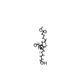 COC(=O)CCC/C=C\Cc1c(C=O)nn(CCCCCCO)c1C